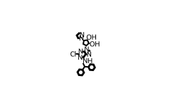 O[C@@H]1[C@H](O)[C@@H](n2cccn2)C[C@H]1n1cnc2c(NCC(c3ccccc3)c3ccccc3)nc(Cl)nc21